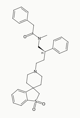 CN(C[C@H](CCN1CCC2(CC1)CS(=O)(=O)c1ccccc12)c1ccccc1)C(=O)Cc1ccccc1